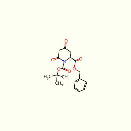 CC(C)(C)OC(=O)N1C(=O)CC(=O)C[C@H]1C(=O)OCc1ccccc1